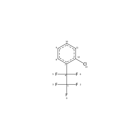 FC(F)(F)C(F)(F)c1cc[c]cc1Cl